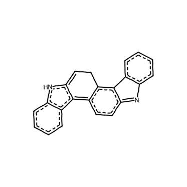 C1=c2[nH]c3ccccc3c2=c2ccc3c(c2C1)-c1ccccc1N=3